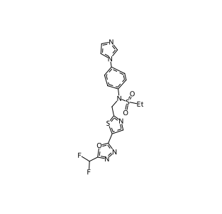 CCS(=O)(=O)N(Cc1ncc(-c2nnc(C(F)F)o2)s1)c1ccc(-n2ccnc2)cc1